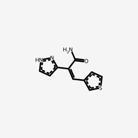 NC(=O)C(=Cc1ccsc1)c1cc[nH]n1